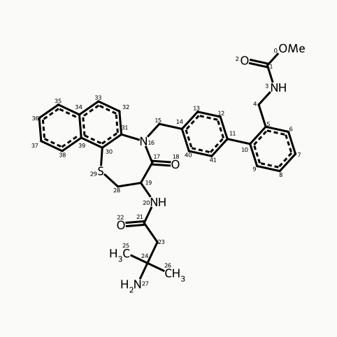 COC(=O)NCc1ccccc1-c1ccc(CN2C(=O)C(NC(=O)CC(C)(C)N)CSc3c2ccc2ccccc32)cc1